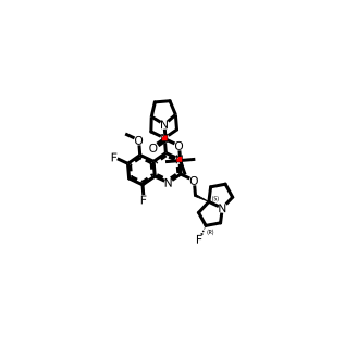 COc1c(F)cc(F)c2nc(OC[C@@]34CCCN3C[C@H](F)C4)nc(N3CC4CCC(C3)N4C(=O)OC(C)(C)C)c12